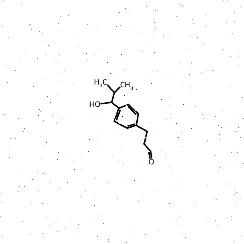 CC(C)C(O)c1ccc(CCC=O)cc1